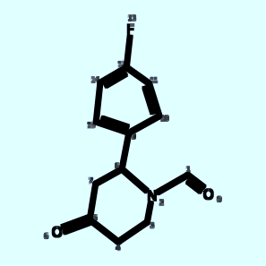 O=CN1CCC(=O)CC1c1ccc(F)cc1